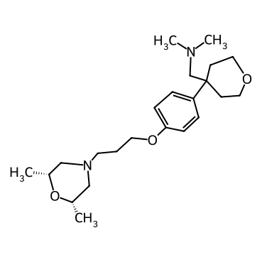 C[C@@H]1CN(CCCOc2ccc(C3(CN(C)C)CCOCC3)cc2)C[C@H](C)O1